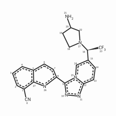 N#Cc1cccc2ccc(-c3nnc4ccc([C@@H](N5CCC(N)C5)C(F)(F)F)cn34)nc12